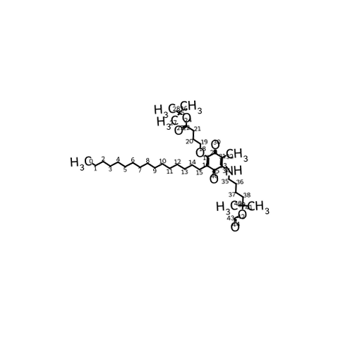 CCCCCCCCCCCCCCCCC1=C(OCCCC(=O)OC(C)(C)C)C(=O)C(C)=C(NCCCCC(C)(C)OC=O)C1=O